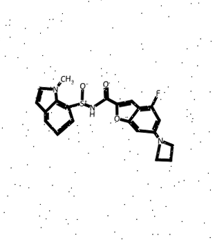 Cn1ccc2cccc([S+]([O-])NC(=O)c3cc4c(F)cc(N5CCC5)cc4o3)c21